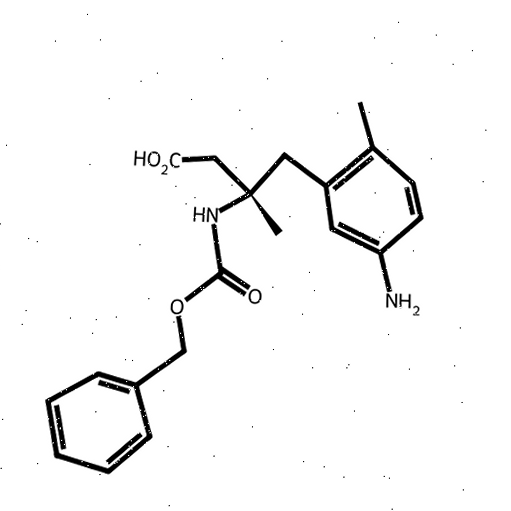 Cc1ccc(N)cc1C[C@@](C)(CC(=O)O)NC(=O)OCc1ccccc1